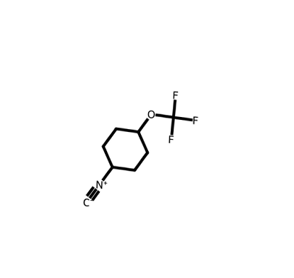 [C-]#[N+]C1CCC(OC(F)(F)F)CC1